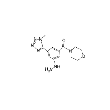 Cn1nnnc1-c1cc(NN)cc(C(=O)N2CCOCC2)c1